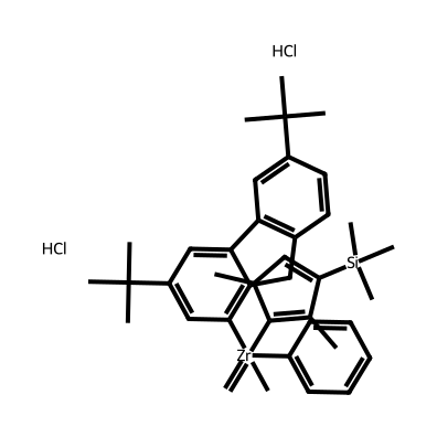 Cl.Cl.[CH2]=[Zr]([CH3])([C]1=C(C)C([Si](C)(C)C)=CC1C)([c]1ccccc1)[c]1cc(C(C)(C)C)cc2c1Cc1ccc(C(C)(C)C)cc1-2